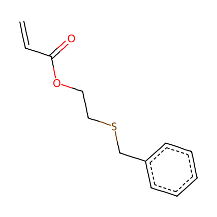 C=CC(=O)OCCSCc1ccccc1